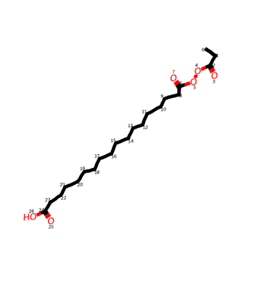 CCC(=O)OOC(=O)CCCCCCCCCCCCCCCCC(=O)O